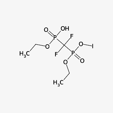 CCOP(=O)(O)C(F)(F)P(=O)(OI)OCC